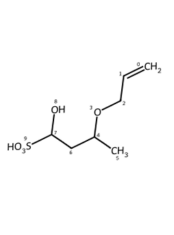 C=CCOC(C)CC(O)S(=O)(=O)O